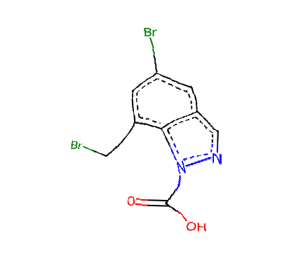 O=C(O)n1ncc2cc(Br)cc(CBr)c21